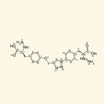 NN[C@@H](Cc1ccc(OCc2cn(-c3ccc(C[C@H](NN)C(=O)O)cc3)nn2)cc1)C(=O)O